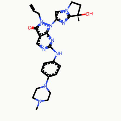 C=CCn1c(=O)c2cnc(Nc3ccc(N4CCN(C)CC4)cc3)nc2n1-c1cn2c(n1)[C@@](C)(O)CC2